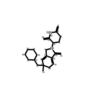 C=C1CCC(N2CC3=CC(C)(CC4CCCCC4)CC=C3C2=C)C(=C)N1